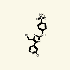 NS(=O)(=O)c1ccc(Nc2nc(-c3ccnc(Cl)c3)c(CO)s2)cc1